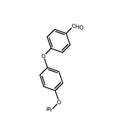 CC(C)Oc1ccc(Oc2ccc(C=O)cc2)cc1